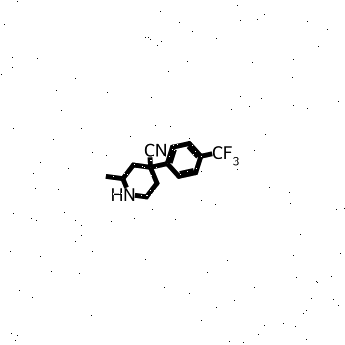 CC1CC(C#N)(c2ccc(C(F)(F)F)cc2)CCN1